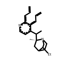 C=C/C=c1/c(C(C)[C@]2(C)CC3CCN2CC3CC)ccn/c1=C/C=C